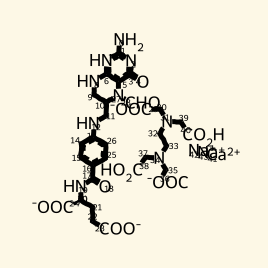 Nc1nc(=O)c2c([nH]1)NCC(CNc1ccc(C(=O)N[C@@H](CCC(=O)[O-])C(=O)[O-])cc1)N2C=O.O=C([O-])CN(CCN(CC(=O)[O-])CC(=O)O)CC(=O)O.[Ca+2].[Na+].[Na+]